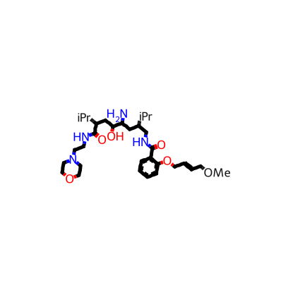 COCC=CCOc1ccccc1C(=O)NCC(CC(N)C(O)CC(C(=O)NCCN1CCOCC1)C(C)C)C(C)C